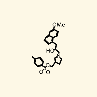 COc1ccc2c(CC(O)CN3CCC(COS(=O)(=O)c4ccc(C)cc4)C3)cccc2c1